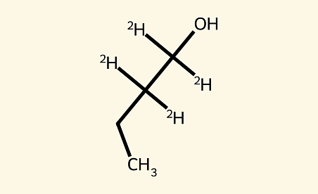 [2H]C([2H])(O)C([2H])([2H])CC